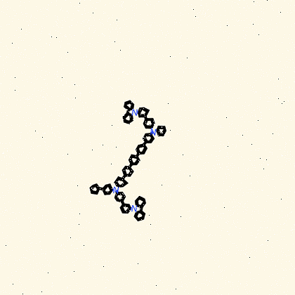 c1ccc(-c2ccc(N(c3ccc(-c4ccc(-c5ccc(-c6ccc(-c7ccc(N(c8ccccc8)c8ccc(-c9cccc(-n%10c%11ccccc%11c%11ccccc%11%10)c9)cc8)cc7)cc6)cc5)cc4)cc3)c3ccc(-c4cccc(-n5c6ccccc6c6ccccc65)c4)cc3)cc2)cc1